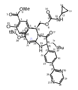 COC(=O)c1cc([C@@H](COC(=O)NC2CC2)N2C(=O)[C@@](CC(C)(C)C)(c3ccc(-c4cnccn4)cc3)N/C2=N/C(=O)OC(C)(C)C)ccc1Cl